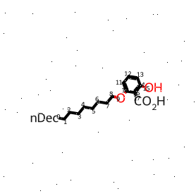 CCCCCCCCCCCCCCCCCCOc1cccc(O)c1C(=O)O